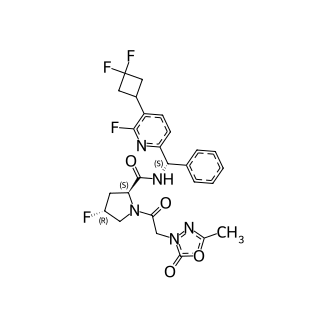 Cc1nn(CC(=O)N2C[C@H](F)C[C@H]2C(=O)N[C@@H](c2ccccc2)c2ccc(C3CC(F)(F)C3)c(F)n2)c(=O)o1